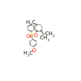 COc1ccc([P@@](=O)(O[C@@H]2C[C@H](C)CC[C@H]2C(C)C)c2ccccc2)cc1